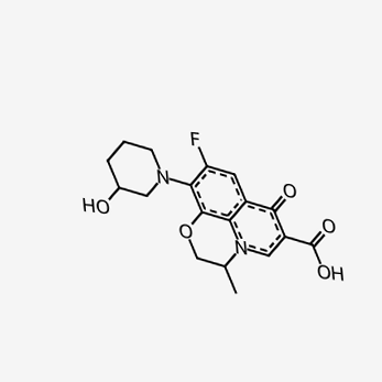 CC1COc2c(N3CCCC(O)C3)c(F)cc3c(=O)c(C(=O)O)cn1c23